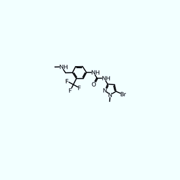 CNCc1ccc(NC(=O)Nc2cc(Br)n(C)n2)cc1C(F)(F)F